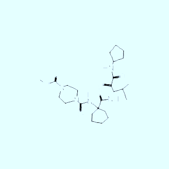 COC(=O)N1CCN(C(=O)NC2(C(=O)N[C@H](C(=O)C(=O)NC3CCCC3)C(C)C)CCCCC2)CC1